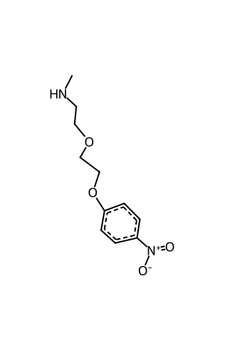 CNCCOCCOc1ccc([N+](=O)[O-])cc1